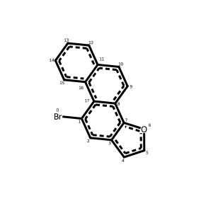 Brc1cc2ccoc2c2ccc3ccccc3c12